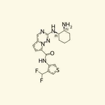 N[C@H]1CCCC[C@H]1Nc1ncc2ccc(C(=O)Nc3cscc3C(F)F)n2n1